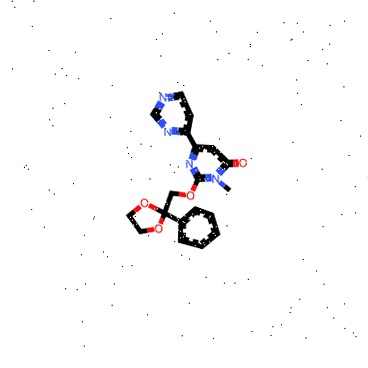 Cn1c(OCC2(c3ccccc3)OCCO2)nc(-c2ccncn2)cc1=O